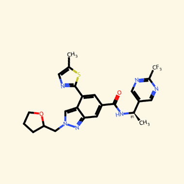 Cc1cnc(-c2cc(C(=O)N[C@H](C)c3cnc(C(F)(F)F)nc3)cc3nn(CC4CCCO4)cc23)s1